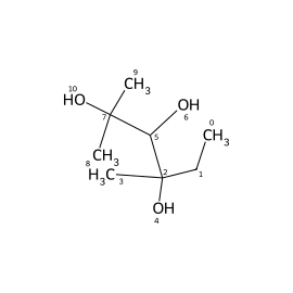 CCC(C)(O)C(O)C(C)(C)O